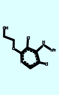 CCCNc1c(Cl)cnc(OCCO)c1Cl